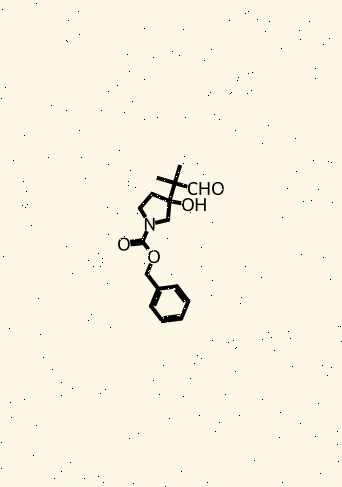 CC(C)(C=O)C1(O)CCN(C(=O)OCc2ccccc2)C1